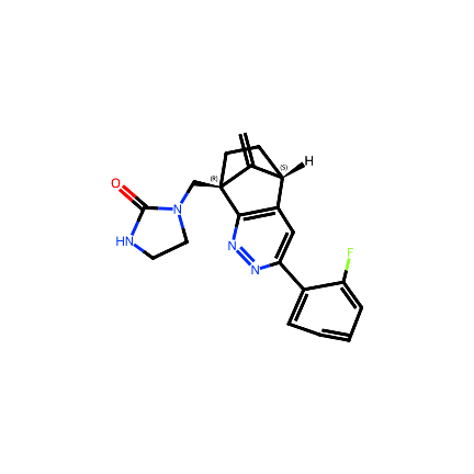 C=C1[C@@H]2CC[C@@]1(CN1CCNC1=O)c1nnc(-c3ccccc3F)cc12